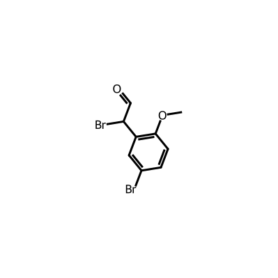 COc1ccc(Br)cc1C(Br)C=O